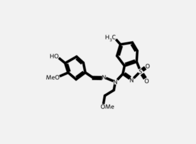 COCCN(N=Cc1ccc(O)c(OC)c1)C1=NS(=O)(=O)c2ccc(C)cc21